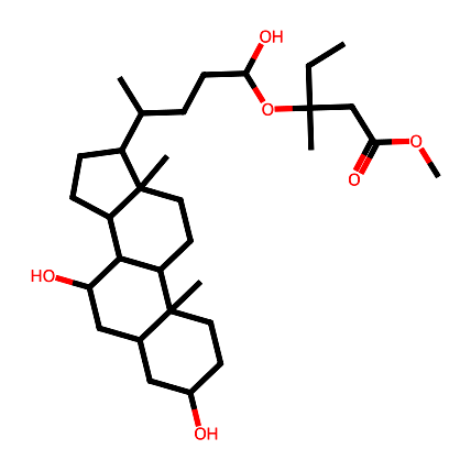 CCC(C)(CC(=O)OC)OC(O)CCC(C)C1CCC2C3C(O)CC4CC(O)CCC4(C)C3CCC12C